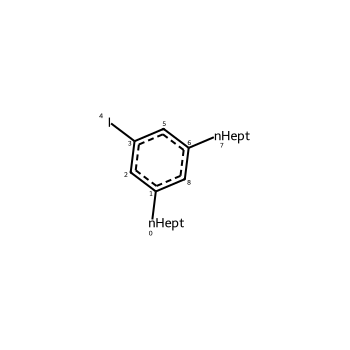 CCCCCCCc1cc(I)cc(CCCCCCC)c1